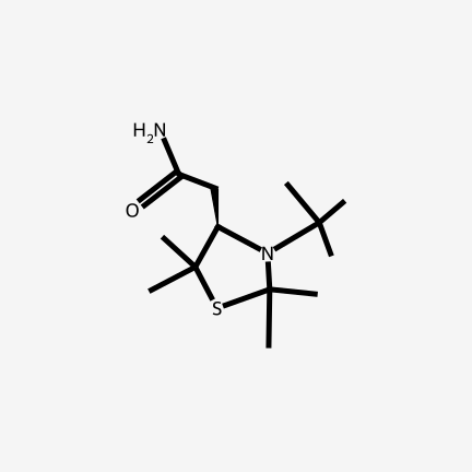 CC1(C)SC(C)(C)N(C(C)(C)C)[C@@H]1CC(N)=O